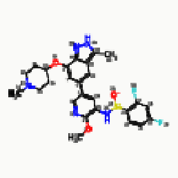 COc1ncc(-c2cc(OC3CCN(C)CC3)c3n[nH]c(C)c3c2)cc1N[S+]([O-])c1ccc(F)cc1F